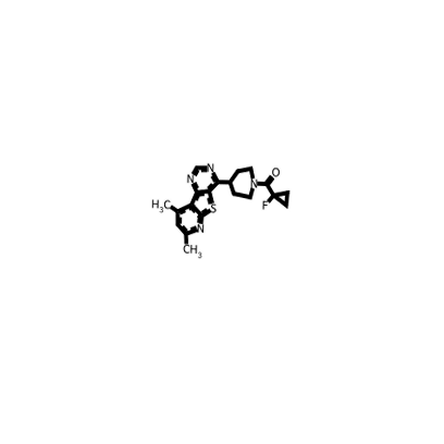 Cc1cc(C)c2c(n1)sc1c(C3CCN(C(=O)C4(F)CC4)CC3)ncnc12